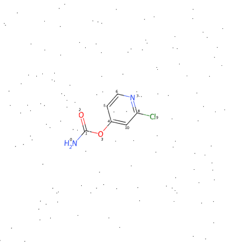 NC(=O)Oc1ccnc(Cl)c1